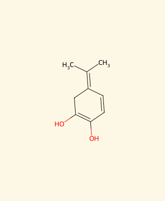 CC(C)=C1C=CC(O)=C(O)C1